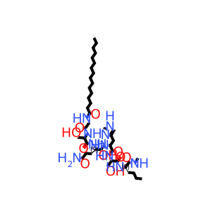 CCCCCCCCCCCCCCCC(=O)NCC(=O)NC(CO)C(=O)N[C@@H](CCC(N)=O)C(O)NC(Cc1c[nH]cn1)C(=O)NC(CO)C(=O)N[C@@H](CCCC)C(=O)NC